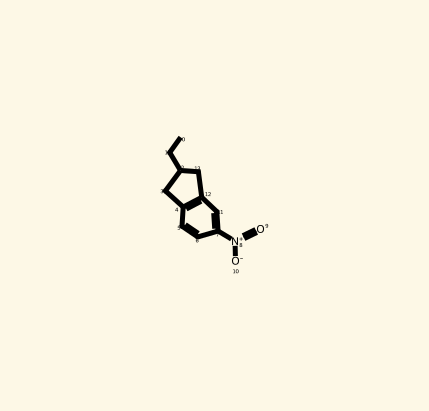 CCC1Cc2ccc([N+](=O)[O-])cc2C1